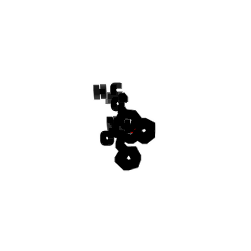 CCOC1=CC=CN2C1=NC(=O)C2(Cc1ccccc1)Cc1ccccc1